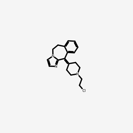 ClCCN1CCC(=C2c3ccccc3CCn3ccnc32)CC1